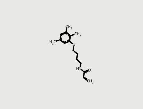 C=CC(=O)NCCCCOc1cc(C)cc(C)c1C